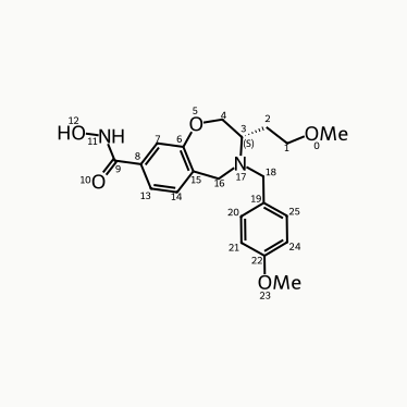 COCC[C@H]1COc2cc(C(=O)NO)ccc2CN1Cc1ccc(OC)cc1